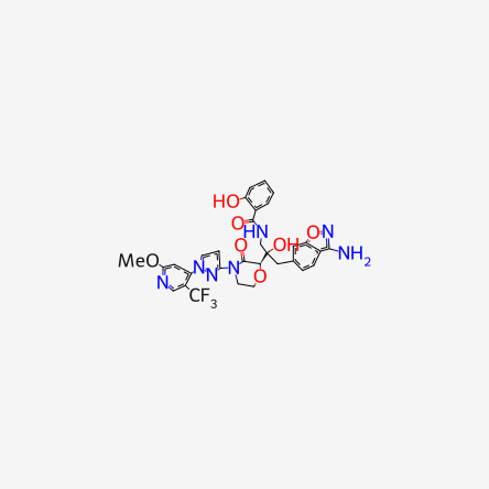 COc1cc(-n2ccc(N3CCO[C@H](C(O)(CNC(=O)c4ccccc4O)Cc4ccc5c(N)noc5c4)C3=O)n2)c(C(F)(F)F)cn1